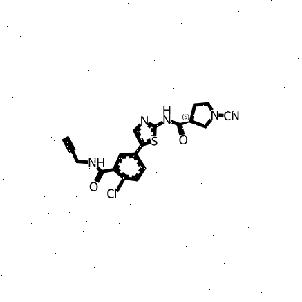 C#CCNC(=O)c1cc(-c2cnc(NC(=O)[C@H]3CCN(C#N)C3)s2)ccc1Cl